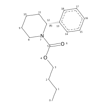 CCCCOC(=O)N1CCCC[C@@H]1c1ccccc1